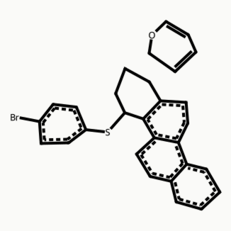 Brc1ccc(SC2CCCc3ccc4c(ccc5ccccc54)c32)cc1.C1=CCOC=C1